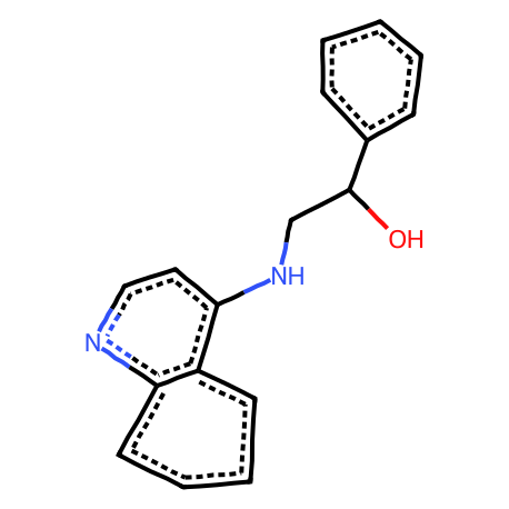 OC(CNc1ccnc2ccccc12)c1ccccc1